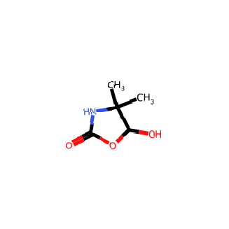 CC1(C)NC(=O)OC1O